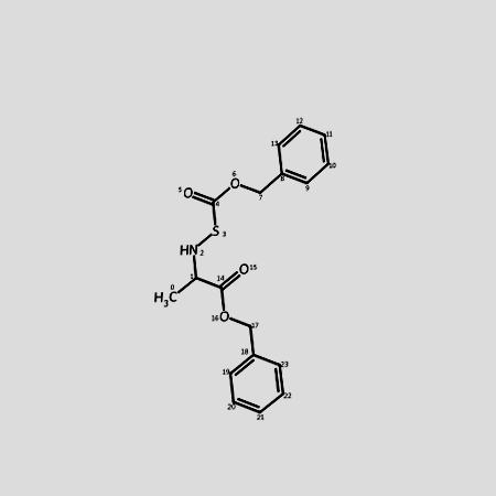 CC(NSC(=O)OCc1ccccc1)C(=O)OCc1ccccc1